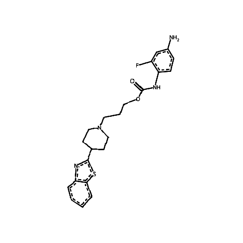 Nc1ccc(NC(=O)OCCCN2CCC(c3nc4ccccc4s3)CC2)c(F)c1